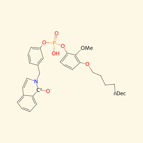 CCCCCCCCCCCCCCOc1cccc(OP(=O)(O)Oc2cccc(Cn3ccc4ccccc4[c+]3[O-])c2)c1OC